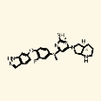 CN(c1ccc(Oc2ccc3cn[nH]c3c2)c(F)c1)c1cc(N2CC3NCCC[C@@H]3C2)nc(N)n1